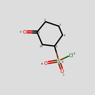 O=C1CCCC(S(=O)(=O)Cl)C1